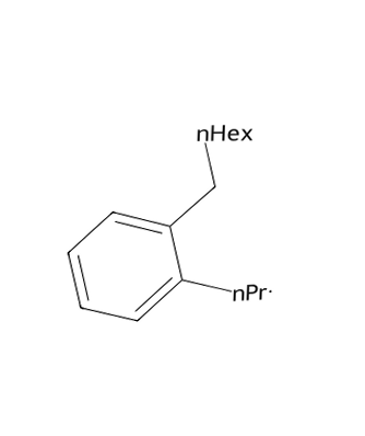 CC[CH]c1ccccc1CCCCCCC